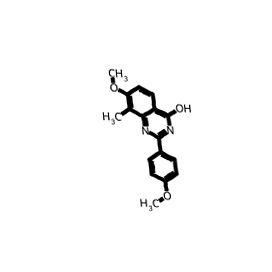 COc1ccc(-c2nc(O)c3ccc(OC)c(C)c3n2)cc1